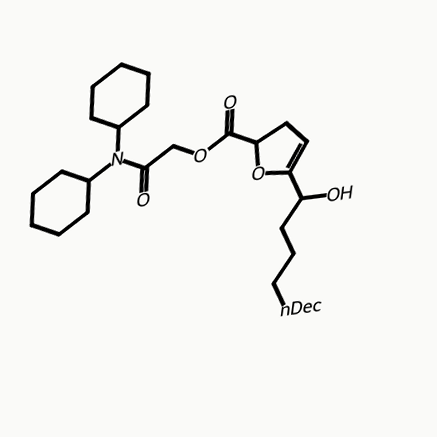 CCCCCCCCCCCCCC(O)C1=CCC(C(=O)OCC(=O)N(C2CCCCC2)C2CCCCC2)O1